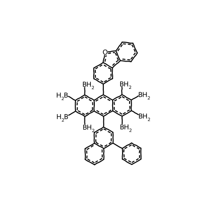 Bc1c(B)c(B)c2c(-c3ccc4oc5ccccc5c4c3)c3c(B)c(B)c(B)c(B)c3c(-c3cc(-c4ccccc4)c4ccccc4c3)c2c1B